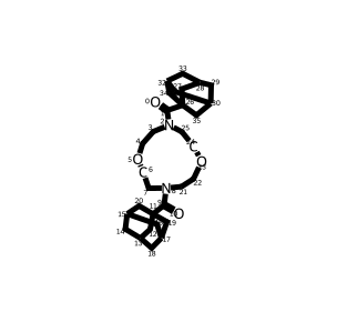 O=C(N1CCOCCN(C(=O)C23CC4CC(CC(C4)C2)C3)CCOCC1)C12CC3CC(CC(C3)C1)C2